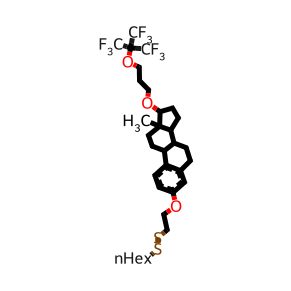 CCCCCCSSCCOc1ccc2c(c1)CCC1C2CCC2(C)C(OCCCOC(C(F)(F)F)(C(F)(F)F)C(F)(F)F)CCC12